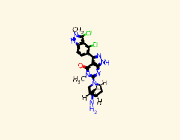 Cn1nc2ccc(-c3n[nH]c4nc(N5C[C@H]6CC[C@H]5C[C@H]6N)n(C)c(=O)c34)c(Cl)c2c1Cl